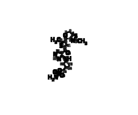 Cc1nc2c(s1)CCOC2c1cc(C(=O)c2cncnc2N[C@H]2CC[C@@H](COS(N)(=O)=O)C2)sc1C